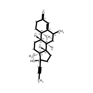 CC#C[C@@]1(O)CC[C@H]2[C@@H]3CC(C)C4=CC(=O)CC[C@]4(C)[C@H]3CC[C@@]21C